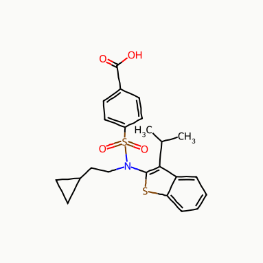 CC(C)c1c(N(CCC2CC2)S(=O)(=O)c2ccc(C(=O)O)cc2)sc2ccccc12